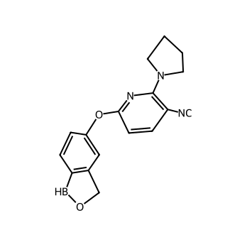 [C-]#[N+]c1ccc(Oc2ccc3c(c2)COB3)nc1N1CCCC1